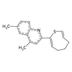 Cc1ccc2nc(/C3=C/CCC/C=C/S3)cc(C)c2c1